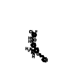 Nc1n[nH]c2c(OCCCc3cccnc3)ccc(-c3ccc(NC(=O)Nc4ccc(F)c(Cl)c4)cc3)c12